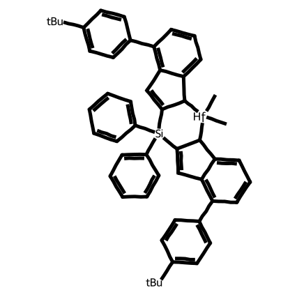 CC(C)(C)c1ccc(-c2cccc3c2C=C2[CH]3[Hf]([CH3])([CH3])[CH]3C(=Cc4c(-c5ccc(C(C)(C)C)cc5)cccc43)[Si]2(c2ccccc2)c2ccccc2)cc1